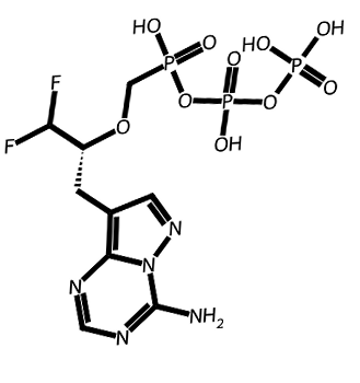 Nc1ncnc2c(C[C@@H](OCP(=O)(O)OP(=O)(O)OP(=O)(O)O)C(F)F)cnn12